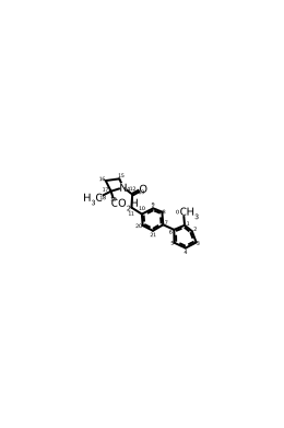 Cc1ccccc1-c1ccc(CC(=O)N2CCC2(C)C(=O)O)cc1